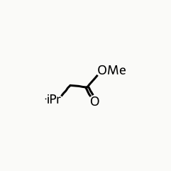 COC(=O)C[C](C)C